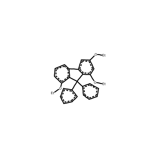 CCOc1cc(OCC)c2c(c1)-c1cccc(OCC)c1C2(c1ccccc1)c1ccccc1